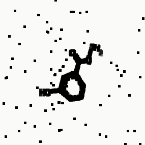 BOC(=O)c1cccc(O)c1